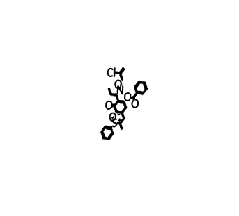 C=C(Cl)CO/N=C(\CC)C1=C(OC(=O)c2ccccc2)CC(CC(C)[S+]([O-])c2ccccc2)CC1=O